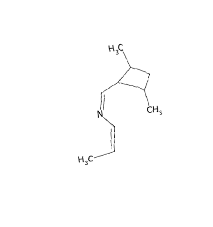 C/C=C\N=C/C1C(C)CC1C